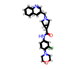 O=C(Nc1ccc(N2CCOCC2)c(F)c1)C1C2CN(Cc3cnc4ccccc4c3)CC21